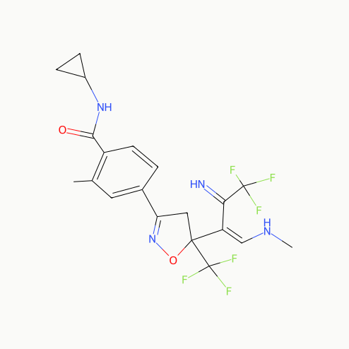 CN/C=C(\C(=N)C(F)(F)F)C1(C(F)(F)F)CC(c2ccc(C(=O)NC3CC3)c(C)c2)=NO1